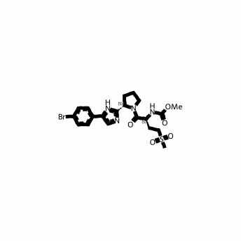 COC(=O)N[C@@H](CCS(C)(=O)=O)C(=O)N1CCC[C@H]1c1ncc(-c2ccc(Br)cc2)[nH]1